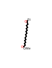 CCC1OC1CCCCCCCCCCCCCCCC(=O)OC